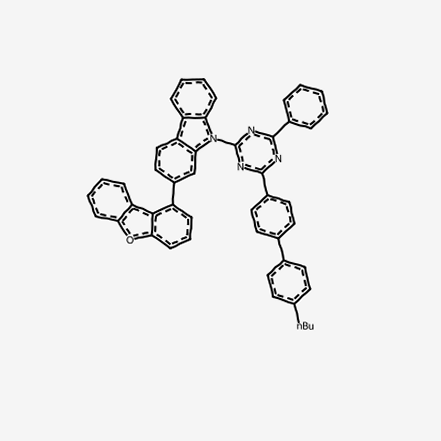 CCCCc1ccc(-c2ccc(-c3nc(-c4ccccc4)nc(-n4c5ccccc5c5ccc(-c6cccc7oc8ccccc8c67)cc54)n3)cc2)cc1